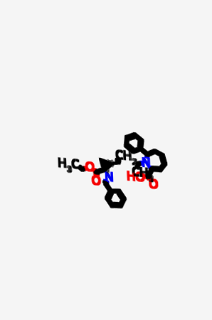 C=C[C@@H]1C[C@]1(N=Cc1ccccc1)C(=O)OCC.CCN1C(C(=O)O)=CC=CCC1c1ccccc1